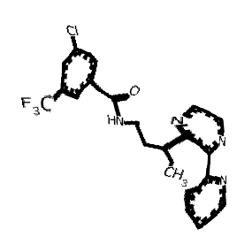 CC(CCNC(=O)c1cc(Cl)cc(C(F)(F)F)c1)c1nccnc1-c1ccccn1